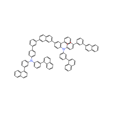 c1ccc(-c2cc(-c3ccc4ccc(-c5cccc(-c6ccc(N(c7cccc(-c8cccc9ccccc89)c7)c7cccc(-c8cccc9ccccc89)c7)cc6)c5)cc4c3)ccc2N(c2ccc(-c3cccc(-c4ccc5ccccc5c4)c3)cc2)c2cccc(-c3cccc4ccccc34)c2)cc1